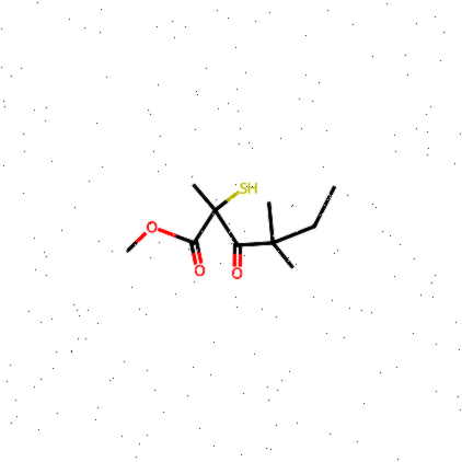 CCC(C)(C)C(=O)C(C)(S)C(=O)OC